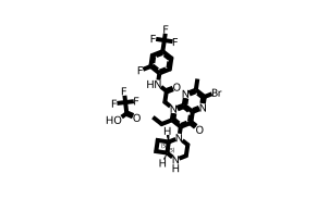 CCc1c(N2CCN[C@H]3CC[C@@H]32)c(=O)c2nc(Br)c(C)nc2n1CC(=O)Nc1ccc(C(F)(F)F)cc1F.O=C(O)C(F)(F)F